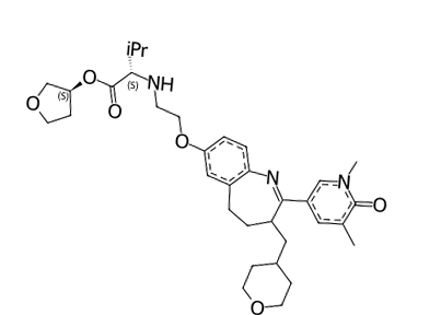 Cc1cc(C2=Nc3ccc(OCCN[C@H](C(=O)O[C@H]4CCOC4)C(C)C)cc3CCC2CC2CCOCC2)cn(C)c1=O